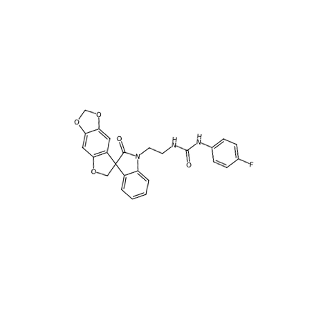 O=C(NCCN1C(=O)C2(COc3cc4c(cc32)OCO4)c2ccccc21)Nc1ccc(F)cc1